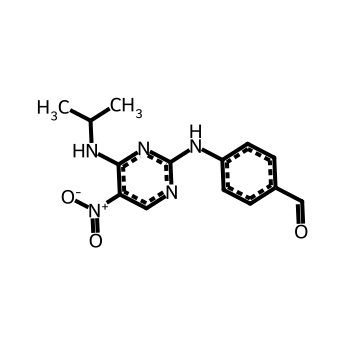 CC(C)Nc1nc(Nc2ccc(C=O)cc2)ncc1[N+](=O)[O-]